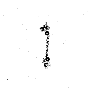 Cn1c(=O)n(C2CCC(=O)NC2=O)c2cccc(CCCOCCOCCOCCOCCN[C@H]3CC[C@H](Nc4ncnc5[nH]cc(C6CCOCC6)c45)CC3)c21